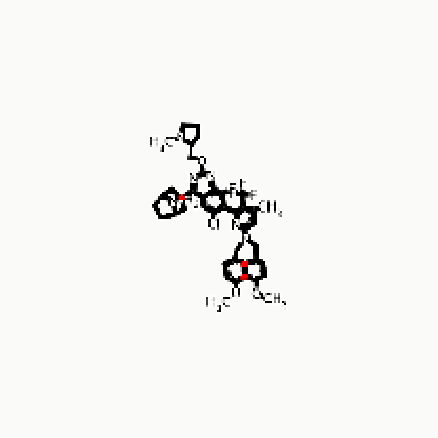 COc1ccc(CN(Cc2ccc(OC)cc2)c2cc(C)c(C(F)(F)F)c(-c3c(Cl)cc4c(N5CC6CCC(C5)N6C)nc(OC[C@@H]5CCCN5C)nc4c3F)n2)cc1